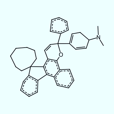 CN(C)C1C=CC(C2(c3ccccc3)C=Cc3c4c(c5ccccc5c3O2)-c2ccccc2C42CCCCCCC2)=CC1